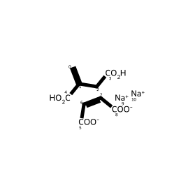 C=C(CC(=O)O)C(=O)O.O=C([O-])/C=C\C(=O)[O-].[Na+].[Na+]